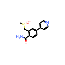 C[S+]([O-])Cc1cc(-c2ccncc2)ccc1C(N)=O